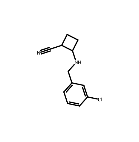 N#CC1CCC1NCc1cc[c]c(Cl)c1